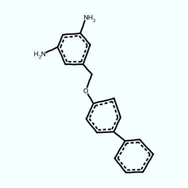 Nc1cc(N)cc(COc2ccc(-c3ccccc3)cc2)c1